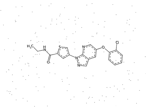 CCNC(=O)c1cc(-n2ncc3cc(Oc4ccccc4Cl)cnc32)cs1